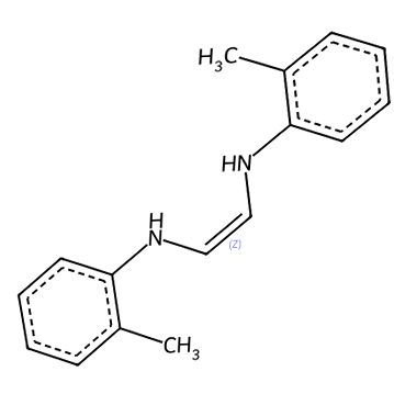 Cc1ccccc1N/C=C\Nc1ccccc1C